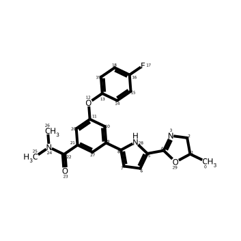 CC1CN=C(c2ccc(-c3cc(Oc4ccc(F)cc4)cc(C(=O)N(C)C)c3)[nH]2)O1